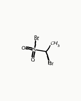 CC(Br)S(=O)(=O)Br